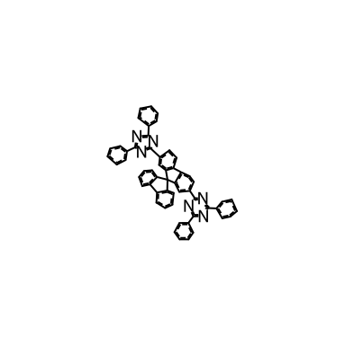 c1ccc(-c2nc(-c3ccccc3)nc(-c3ccc4c(c3)C3(c5ccccc5-c5ccccc53)c3cc(-c5nc(-c6ccccc6)nc(-c6ccccc6)n5)ccc3-4)n2)cc1